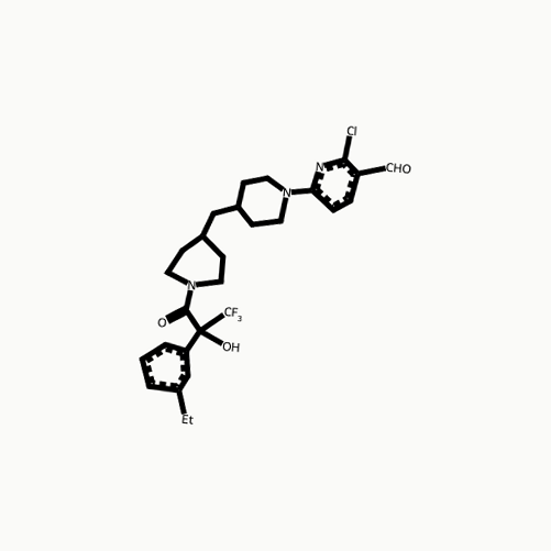 CCc1cccc(C(O)(C(=O)N2CCC(CC3CCN(c4ccc(C=O)c(Cl)n4)CC3)CC2)C(F)(F)F)c1